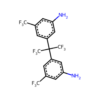 Nc1cc(C(F)(F)F)cc(C(c2cc(N)cc(C(F)(F)F)c2)(C(F)(F)F)C(F)(F)F)c1